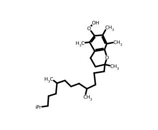 Cc1c(C)c2c(c(C)c1OO)CCC(C)(CCCC(C)CCCC(C)CCCC(C)C)O2